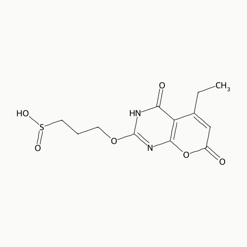 CCc1cc(=O)oc2nc(OCCCS(=O)O)[nH]c(=O)c12